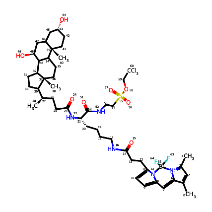 CC1=CC(C)=[N+]2C1=Cc1ccc(CCC(=O)NCCCC[C@H](NC(=O)CC[C@@H](C)C3CCC4C5C(CC[C@@]43C)[C@@]3(C)CC[C@@H](O)CC3C[C@@H]5O)C(=O)NCCS(=O)(=O)OCC(Cl)(Cl)Cl)n1[B-]2(F)F